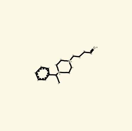 CC(c1ccccc1)N1CCN(CCC[C]=O)CC1